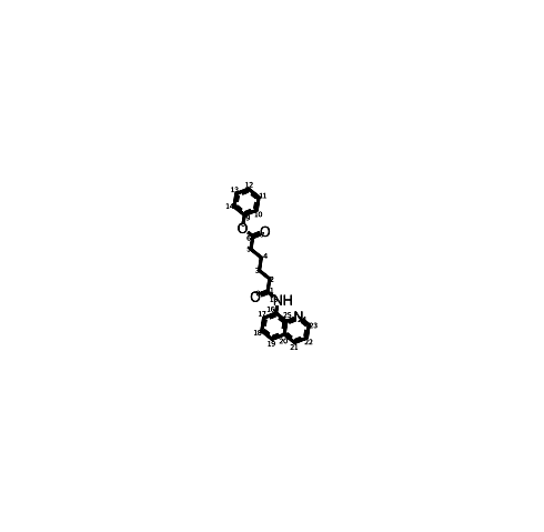 O=C(CCCCC(=O)Oc1ccccc1)Nc1cccc2cccnc12